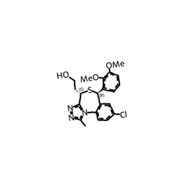 COc1cccc([C@@H]2S[C@@H](CCO)c3nnc(C)n3-c3ccc(Cl)cc32)c1OC